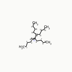 CCCC/N=C(\CCCC)N(CCCC)CCCC